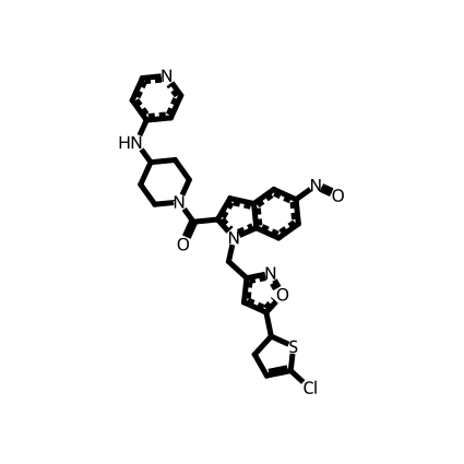 O=Nc1ccc2c(c1)cc(C(=O)N1CCC(Nc3ccncc3)CC1)n2Cc1cc(C2CC=C(Cl)S2)on1